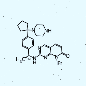 CC(C)n1c(=O)ccc2cnc(N[C@@H](C)c3ccc(C4(N5CCNCC5)CCCC4)cc3)nc21